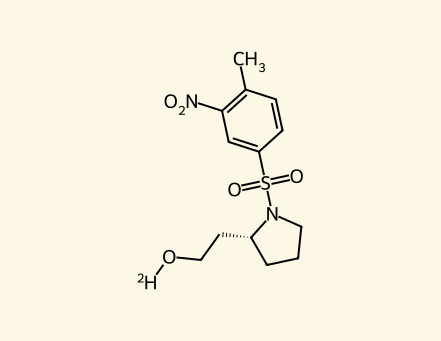 [2H]OCC[C@H]1CCCN1S(=O)(=O)c1ccc(C)c([N+](=O)[O-])c1